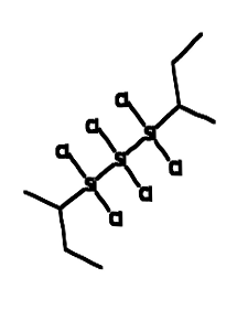 CCC(C)[Si](Cl)(Cl)[Si](Cl)(Cl)[Si](Cl)(Cl)C(C)CC